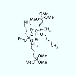 CCO[Si](CCCN)(OCC)OCC.CO[Si](C=CC(C)(C)OCCCN)(OC)OC.CO[Si](CCCN)(OC)OC